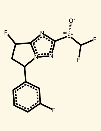 [O-][S@@+](c1nc2n(n1)C(c1cccc(F)c1)CC2F)C(F)F